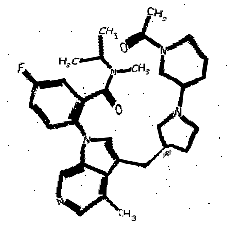 CC(=O)N1CCCC(N2CC[C@@H](Cc3cn(-c4ccc(F)cc4C(=O)N(C)C(C)C)c4cncc(C)c34)C2)C1